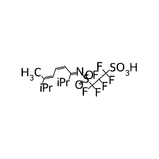 C\C(=C/C=C\C(=N\S(=O)(=O)C(F)(F)C(F)(F)C(F)(F)S(=O)(=O)O)C(C)C)C(C)C